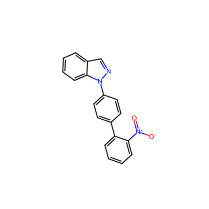 O=[N+]([O-])c1ccccc1-c1ccc(-n2ncc3ccccc32)cc1